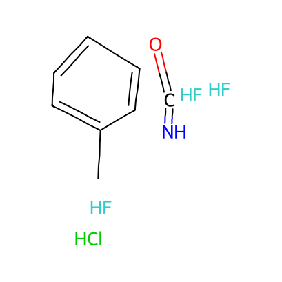 Cc1ccccc1.Cl.F.F.F.N=C=O